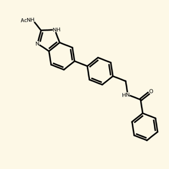 CC(=O)Nc1nc2ccc(-c3ccc(CNC(=O)c4ccccc4)cc3)cc2[nH]1